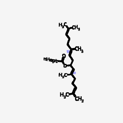 CCCCCCCC(=O)OC(/C=C(\C)CCC=C(C)C)C/C=C(\C)CCC=C(C)C